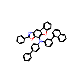 c1ccc(-c2ccc(N(c3cccc(-c4cccc5ccccc45)c3)c3c4oc(-c5ccccc5)nc4cc4c3oc3ccccc34)cc2)cc1